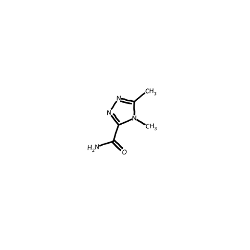 Cc1nnc(C(N)=O)n1C